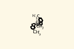 Cc1ccc2c(c1)[CH]([Hf]([CH3])([CH3])[CH]1C=Cc3ccc(C)cc31)C=C2